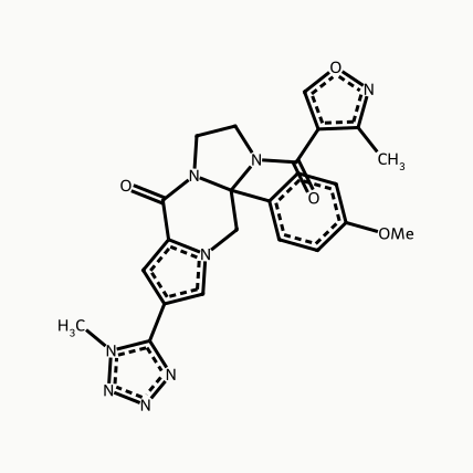 COc1ccc(C23Cn4cc(-c5nnnn5C)cc4C(=O)N2CCN3C(=O)c2conc2C)cc1